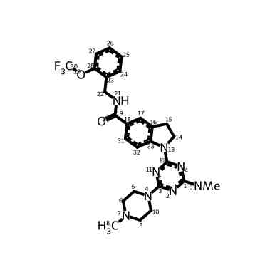 CNc1nc(N2CCN(C)CC2)nc(N2CCc3cc(C(=O)NCc4ccccc4OC(F)(F)F)ccc32)n1